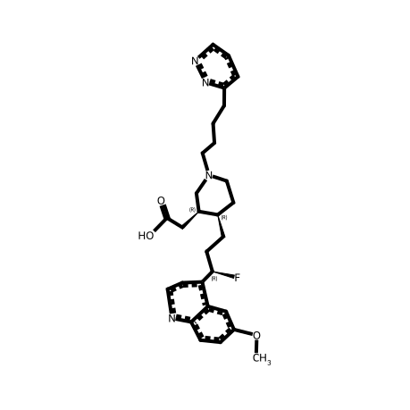 COc1ccc2nccc([C@H](F)CC[C@@H]3CCN(CCCCc4cccnn4)C[C@@H]3CC(=O)O)c2c1